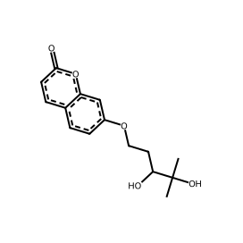 CC(C)(O)C(O)CCOc1ccc2ccc(=O)oc2c1